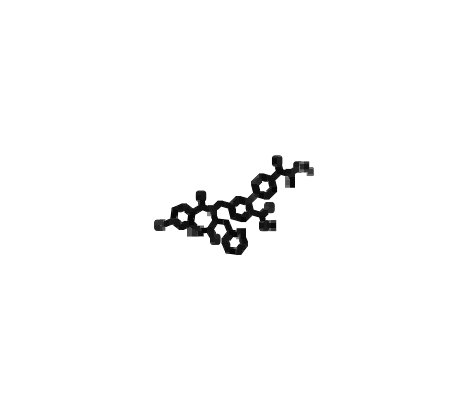 CNC(=O)c1ccc(-c2cc(CN3C(=O)c4ccc(Cl)cc4NC(=O)C3Cc3ccccn3)ccc2C(=O)O)cc1